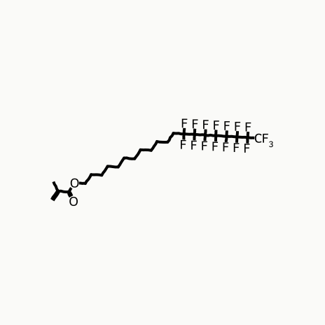 C=C(C)C(=O)OCCCCCCCCCCCCC(F)(F)C(F)(F)C(F)(F)C(F)(F)C(F)(F)C(F)(F)C(F)(F)C(F)(F)F